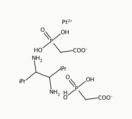 CC(C)C(N)C(N)C(C)C.O=C([O-])CP(=O)(O)O.O=C([O-])CP(=O)(O)O.[Pt+2]